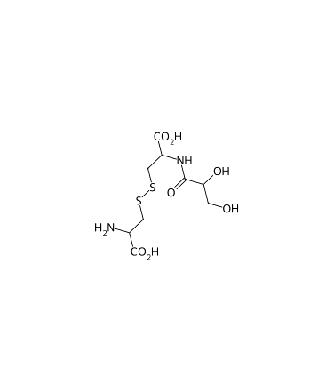 NC(CSSCC(NC(=O)C(O)CO)C(=O)O)C(=O)O